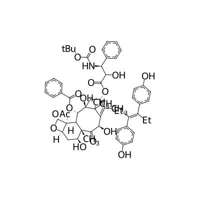 CC(=O)O[C@@]12CO[C@@H]1C[C@H](O)[C@@]1(C)C(=O)[C@H](O)C3=C(C)[C@@H](OC(=O)C(O)[C@@H](NC(=O)OC(C)(C)C)c4ccccc4)C[C@@](O)([C@@H](OC(=O)c4ccccc4)[C@H]21)C3(C)C.CC/C(=C(/CC)c1ccc(O)cc1)c1ccc(O)cc1